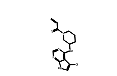 C=CC(=O)N1CCCC(Nc2ncnc3[nH]cc(Cl)c23)C1